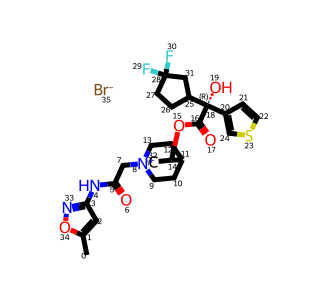 Cc1cc(NC(=O)C[N+]23CCC(CC2)C(OC(=O)[C@](O)(c2ccsc2)C2CCC(F)(F)C2)C3)no1.[Br-]